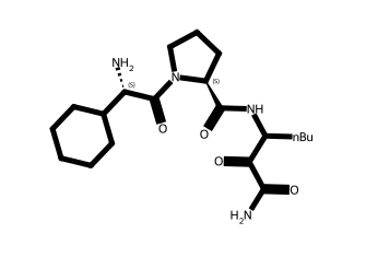 CCCCC(NC(=O)[C@@H]1CCCN1C(=O)[C@@H](N)C1CCCCC1)C(=O)C(N)=O